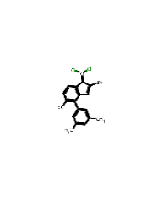 CCc1ccc2c(c1-c1cc(C)cc(C)c1)C=C(C(C)C)[CH]2[Zr]([Cl])[Cl]